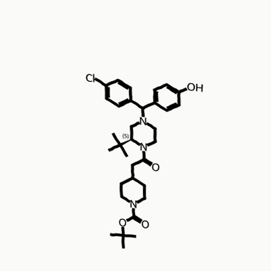 CC(C)(C)OC(=O)N1CCC(CC(=O)N2CCN(C(c3ccc(O)cc3)c3ccc(Cl)cc3)C[C@@H]2C(C)(C)C)CC1